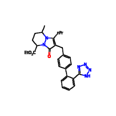 CCCc1c(Cc2ccc(-c3ccccc3-c3nnn[nH]3)cc2)c(=O)n2n1C(C)CCC2C(=O)OCC